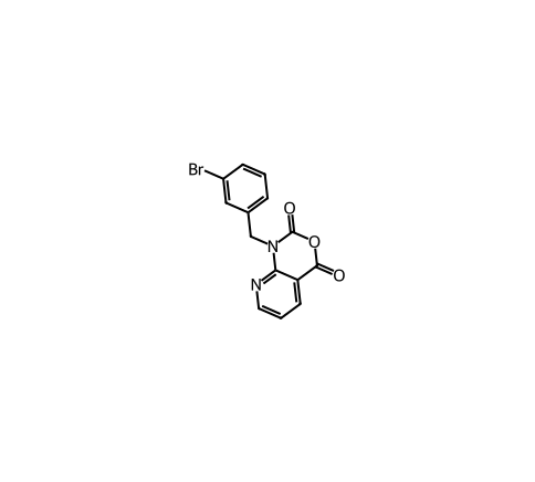 O=c1oc(=O)n(Cc2cccc(Br)c2)c2ncccc12